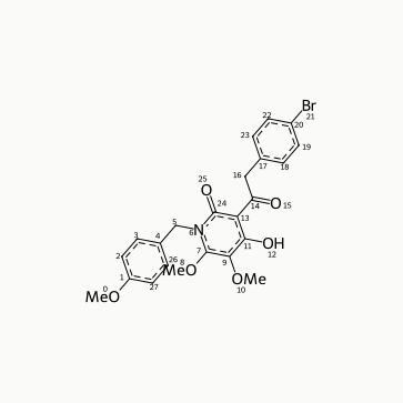 COc1ccc(Cn2c(OC)c(OC)c(O)c(C(=O)Cc3ccc(Br)cc3)c2=O)cc1